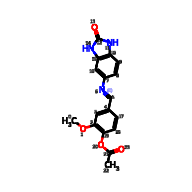 COc1cc(/C=N/c2ccc3[nH]c(=O)[nH]c3c2)ccc1OC(C)=O